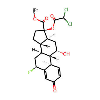 CC(C)OC(=O)[C@@]1(OC(=O)C(Cl)Cl)CC[C@H]2[C@@H]3C[C@H](F)C4=CC(=O)C=C[C@]4(C)[C@H]3[C@@H](O)C[C@@]21C